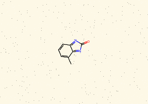 [CH2]c1cccc2c1=NC(=O)N=2